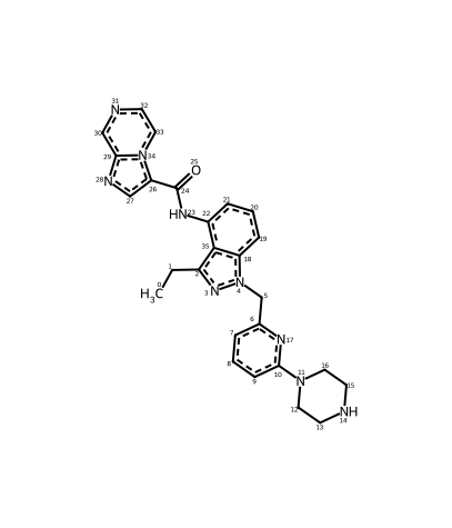 CCc1nn(Cc2cccc(N3CCNCC3)n2)c2cccc(NC(=O)c3cnc4cnccn34)c12